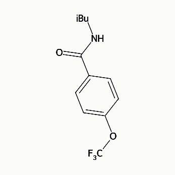 CCC(C)NC(=O)c1ccc(OC(F)(F)F)cc1